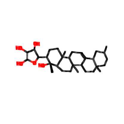 CC1CCC2(C)CCC3C(=CCC4C3(C)CCC3C4(C)CCC(C4OC(O)C(O)C4O)[C@@]3(C)O)C2C1